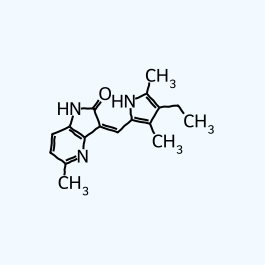 CCc1c(C)[nH]c(C=C2C(=O)Nc3ccc(C)nc32)c1C